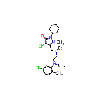 CCN(CCN(C)c1cc(Cl)ccc1C)Cc1c(Cl)c(=O)n(C2CCCCC2)n1C